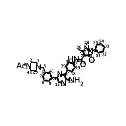 CC(=O)N1CCN(Cc2cccc(-c3cnc(N)c(-c4ccc(NC(=O)c5c(C)n(C)n(-c6ccccc6)c5=O)cc4)n3)c2)CC1